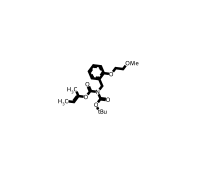 C/C=C(\C)OC(=O)N(Cc1ccccc1OCCOC)C(=O)OC(C)(C)C